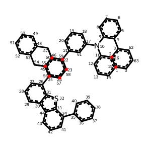 c1ccc(-c2ccccc2N(c2ccccc2)c2cccc(-c3ccc(-c4cccc5c4sc4c(-c6ccccc6)cccc45)c4c3C3c5ccccc5C4c4ccccc43)c2)cc1